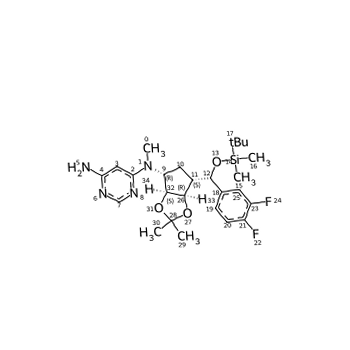 CN(c1cc(N)ncn1)[C@@H]1C[C@H](C(O[Si](C)(C)C(C)(C)C)c2ccc(F)c(F)c2)[C@H]2OC(C)(C)O[C@H]21